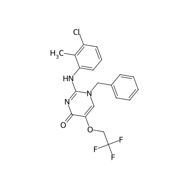 Cc1c(Cl)cccc1Nc1nc(=O)c(OCC(F)(F)F)cn1Cc1ccccc1